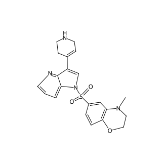 CN1CCOc2ccc(S(=O)(=O)n3cc(C4=CCNCC4)c4ncccc43)cc21